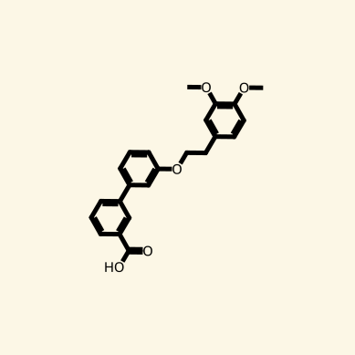 COc1ccc(CCOc2cccc(-c3cccc(C(=O)O)c3)c2)cc1OC